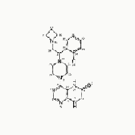 O=C1CNc2ncnc(N3CCN(C(CN4CCC4)c4ccccc4Cl)CC3)c2N1